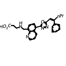 CCCC(=Cc1nnc(-c2ccc(CNCCC(=O)O)c3ncccc23)o1)c1ccccc1